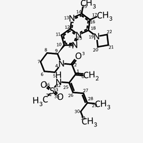 C=C(C(=O)N1CCCC[C@H]1c1cc2nc(C)c(C)c(N3CCC3)n2n1)/C(=C\C=C(\C)CC)NS(C)(=O)=O